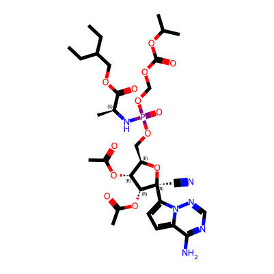 CCC(CC)COC(=O)[C@H](C)NP(=O)(OCOC(=O)OC(C)C)OC[C@H]1O[C@@](C#N)(c2ccc3c(N)ncnn23)[C@H](OC(C)=O)[C@@H]1OC(C)=O